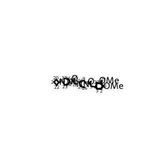 COc1ccc(CC(=O)N2CCN(CC(=O)N3CCN(C4CCC4)CC3)CC2)cc1OC